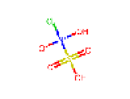 O=S(=O)(O)[N+]([O-])(O)Cl